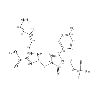 COC(=O)c1nc(Cn2nc(-c3ccc(Cl)cc3)n(CCC(F)(F)F)c2=O)nn1C/C=C(Cl)\C=C/N